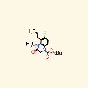 C=CCc1c(F)ccc2c1N(C)C(=O)CN2C(=O)OC(C)(C)C